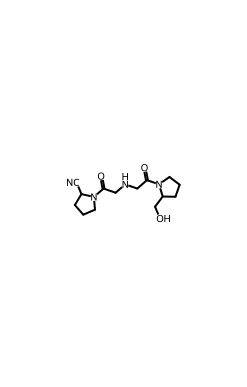 N#CC1CCCN1C(=O)CNCC(=O)N1CCCC1CO